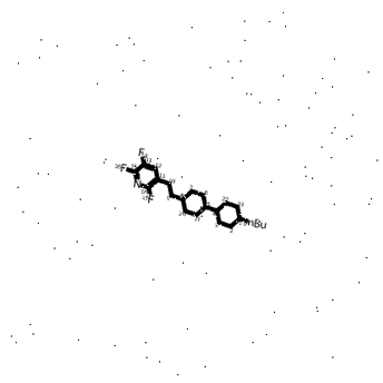 CCCCC1CCC(C2CCC(CCc3cc(F)c(F)nc3F)CC2)CC1